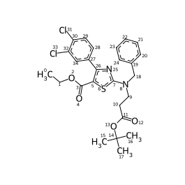 CCOC(=O)c1sc(N(CCC(=O)OC(C)(C)C)Cc2ccccc2)nc1-c1ccc(Cl)c(Cl)c1